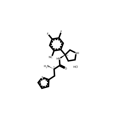 Cl.N#Cc1cc(F)c(F)cc1[C@@]1(NC(=O)[C@@H](N)Cc2cccs2)CCNC1